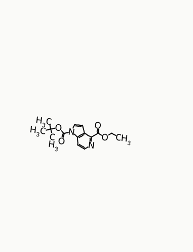 CCOC(=O)c1nccc2c1ccn2C(=O)OC(C)(C)C